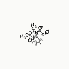 CC1OC(C)(C)c2ccccc2N1C(=O)CCl